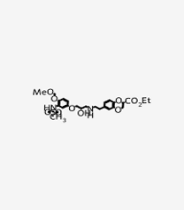 CCOC(=O)[C@H]1COc2cc(CCNC[C@H](O)COc3ccc(OCOC)c(NS(C)(=O)=O)c3)ccc2O1